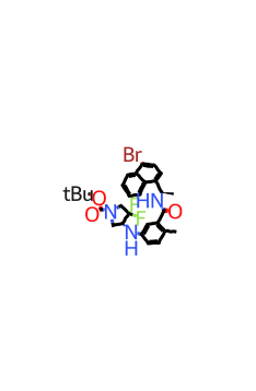 Cc1ccc(N[C@H]2CN(C(=O)OC(C)(C)C)CC2(F)F)cc1C(=O)N[C@H](C)c1ccc(Br)c2ccccc12